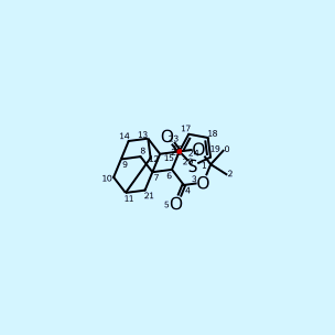 CC1(C)OC(=O)C(C23CC4CC(CC(C4)C2c2cccs2)C3)C(=O)O1